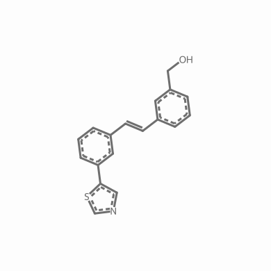 OCc1cccc(C=Cc2cccc(-c3cncs3)c2)c1